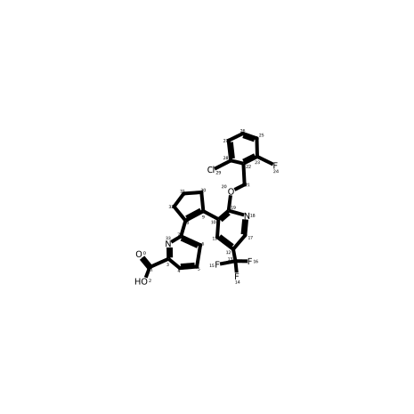 O=C(O)c1cccc(C2=C(c3cc(C(F)(F)F)cnc3OCc3c(F)cccc3Cl)CCC2)n1